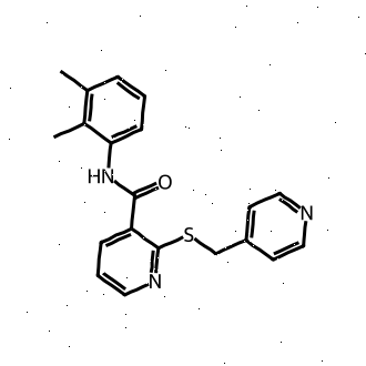 Cc1cccc(NC(=O)c2cccnc2SCc2ccncc2)c1C